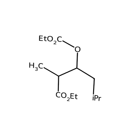 CCOC(=O)OC(CC(C)C)C(C)C(=O)OCC